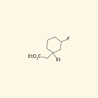 CCOC(=O)CC1(CC)CCCC(F)C1